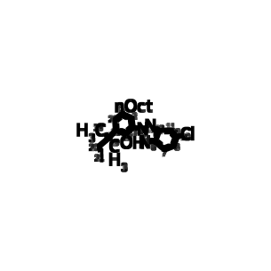 CCCCCCCCc1cc(-n2nc3ccc(Cl)cc3n2)c(O)c(C(C)(C)CI)c1